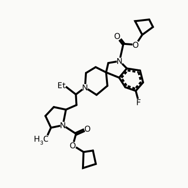 CCC(CC1CCC(C)N1C(=O)OC1CCC1)N1CCC2(CC1)CN(C(=O)OC1CCC1)c1ccc(F)cc12